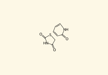 O=C1CSC(=O)N1.O=c1cccc[nH]1